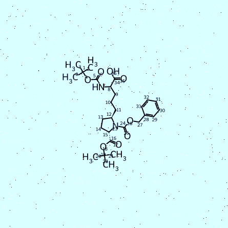 CC(C)(C)OC(=O)NC(CCC[C@@H]1CC[C@@H](C(=O)OC(C)(C)C)N1C(=O)OCc1ccccc1)C(=O)O